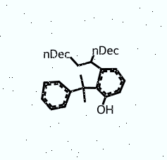 CCCCCCCCCCCC(CCCCCCCCCC)c1cccc(O)c1C(C)(C)c1ccccc1